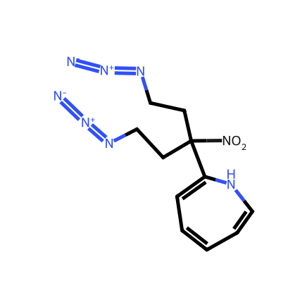 [N-]=[N+]=NCCC(CCN=[N+]=[N-])(C1=CC=CC=CN1)[N+](=O)[O-]